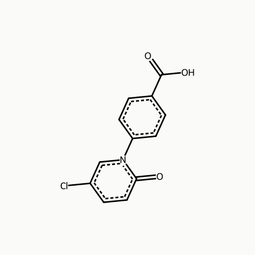 O=C(O)c1ccc(-n2cc(Cl)ccc2=O)cc1